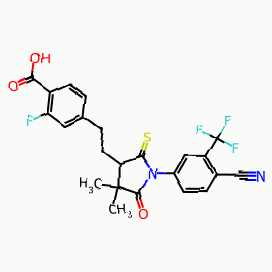 CC1(C)C(=O)N(c2ccc(C#N)c(C(F)(F)F)c2)C(=S)C1CCc1ccc(C(=O)O)c(F)c1